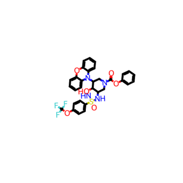 N=S(=O)(NC1CN(C(=O)Oc2ccccc2)CC(N2c3ccccc3Oc3ccccc32)C1O)c1ccc(OC(F)(F)F)cc1